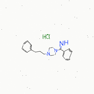 Cl.N=C(c1ccccc1)N1CCN(CCCc2ccccc2)CC1